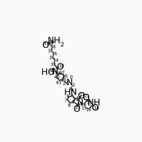 CN(CCNc1cccc2c1C(=O)N(C1CCC(=O)NC1=O)C2=O)Cc1ccc(N(O)C(=O)CCCCCCC(N)=O)cc1